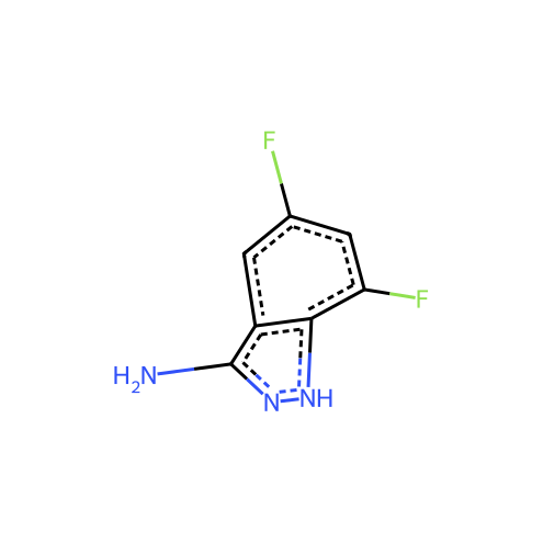 Nc1n[nH]c2c(F)cc(F)cc12